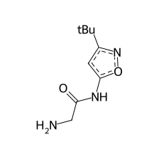 CC(C)(C)c1cc(NC(=O)CN)on1